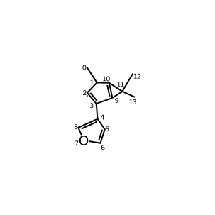 CC1[C]=C(c2ccoc2)C2=C1C2(C)C